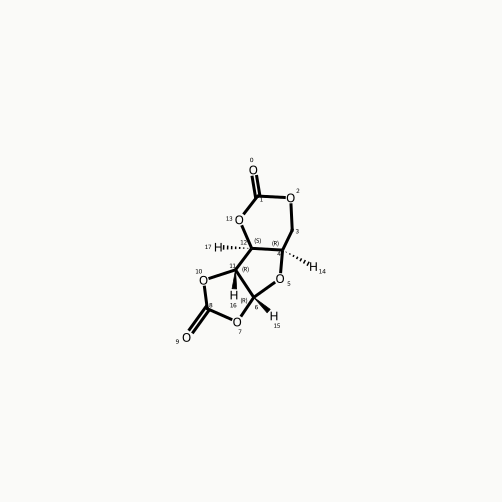 O=C1OC[C@H]2O[C@@H]3OC(=O)O[C@@H]3[C@H]2O1